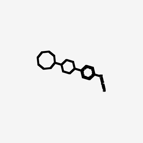 S=C=Nc1ccc(C2CCC(C3CCCCCCC3)CC2)cc1